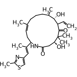 C=CC1C(=O)C(C)(C)[C@@H](O)CC(=O)NC(/C(C)=C/c2csc(C)n2)C/C=C(/C)CCCC(C)[C@@H]1O